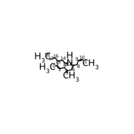 CC=CCC(C)CC(C/C=C\C)NCCCCCC